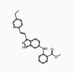 CCc1ccc(/C=C/c2n[nH]c3cc(Nc4ccccc4C(=O)OC)ccc23)nc1